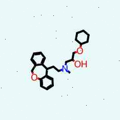 CN(CCC1c2ccccc2COc2ccccc21)CC(O)COC1CCCCC1